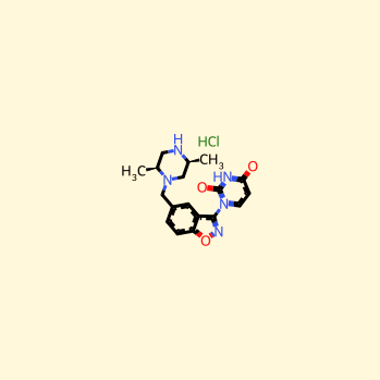 C[C@H]1CN(Cc2ccc3onc(-n4ccc(=O)[nH]c4=O)c3c2)[C@@H](C)CN1.Cl